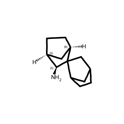 N[C@H]1[C@H]2CC[C@H](C2)C12CC1CCC2C1